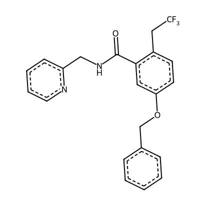 O=C(NCc1ccccn1)c1cc(OCc2ccccc2)ccc1CC(F)(F)F